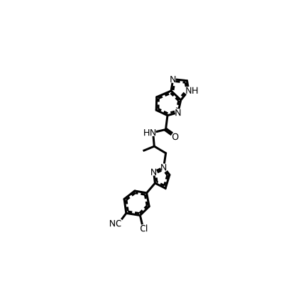 CC(Cn1ccc(-c2ccc(C#N)c(Cl)c2)n1)NC(=O)c1ccc2nc[nH]c2n1